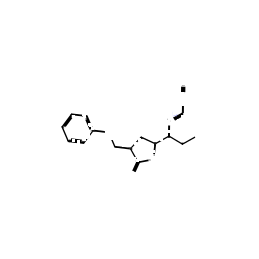 CCC(/N=C/B=O)C1CC(CSc2ccccc2)C(=O)O1